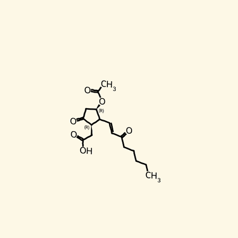 CCCCCC(=O)C=CC1[C@H](OC(C)=O)CC(=O)[C@@H]1CC(=O)O